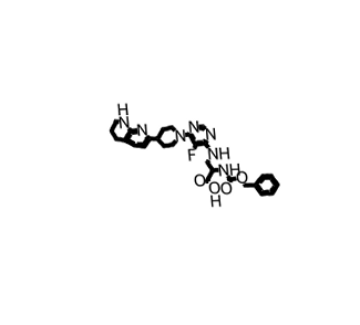 O=C(NC(CNc1ncnc(N2CCC(c3ccc4c(n3)NCCC4)CC2)c1F)C(=O)O)OCc1ccccc1